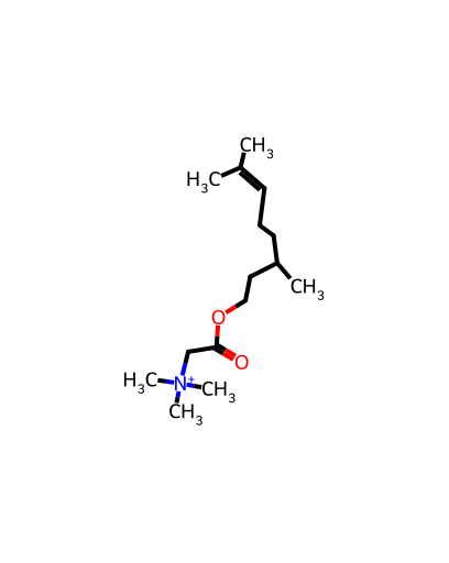 CC(C)=CCCC(C)CCOC(=O)C[N+](C)(C)C